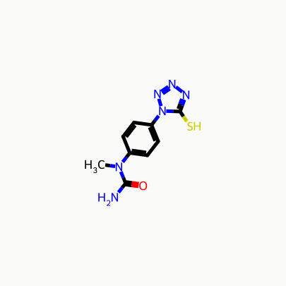 CN(C(N)=O)c1ccc(-n2nnnc2S)cc1